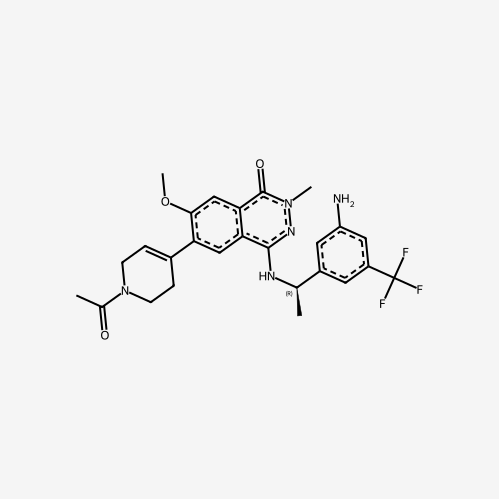 COc1cc2c(=O)n(C)nc(N[C@H](C)c3cc(N)cc(C(F)(F)F)c3)c2cc1C1=CCN(C(C)=O)CC1